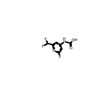 O=C(O)Nc1cc(F)nc(C(F)F)c1